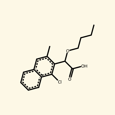 CCCCOC(C(=O)O)c1c(C)cc2ccccc2c1Cl